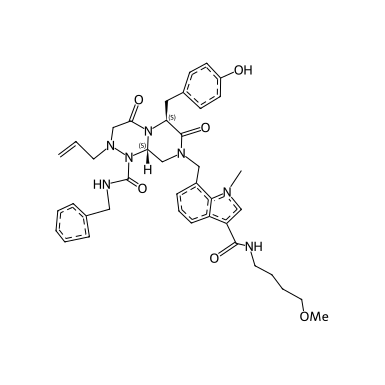 C=CCN1CC(=O)N2[C@@H](Cc3ccc(O)cc3)C(=O)N(Cc3cccc4c(C(=O)NCCCCOC)cn(C)c34)C[C@@H]2N1C(=O)NCc1ccccc1